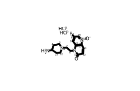 Cl.Cl.NC1CCN(CCn2c(=O)ccc3c2cc(F)c[n+]3[O-])CC1